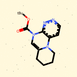 CC(C)(C)OC(=O)N1C=C2CCCCN2c2ccnnc21